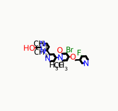 Cc1cnc(-c2ccnc(C(C)(C)O)n2)cc1-n1c(C)cc(OCc2cnccc2F)c(Br)c1=O